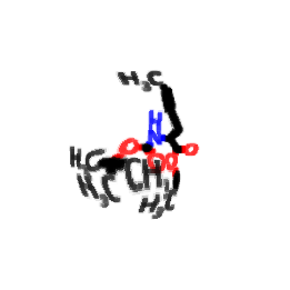 CC#CCC(NC(=O)OC(C)(C)C)C(=O)OCC